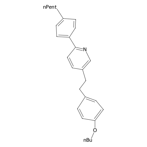 CCCCCc1ccc(-c2ccc(CCc3ccc(OCCCC)cc3)cn2)cc1